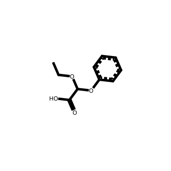 CCOC(Oc1ccccc1)C(=O)O